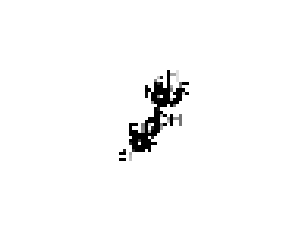 O=C1CCc2c(OCC3(O)CCN(c4c(F)cc(Br)cc4F)CC3)cc(F)c(Cl)c2N1